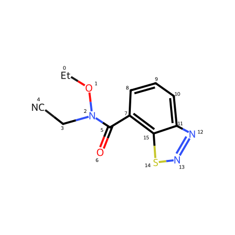 CCON(CC#N)C(=O)c1cccc2nnsc12